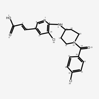 O=C(O)/C=C/c1cnc(NC2CCN(C(=O)c3ccc(Cl)cc3)CC2)c(Cl)c1